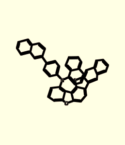 c1ccc2cc(-c3ccc(N(c4cccc5ccccc45)c4cccc5oc6ccc7c8cc9ccccc9cc8sc7c6c45)cc3)ccc2c1